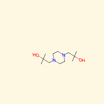 CC(C)(O)CN1CCN(CC(C)(C)O)CC1